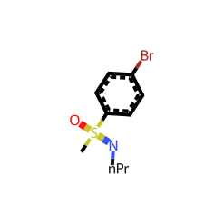 CCCN=S(C)(=O)c1ccc(Br)cc1